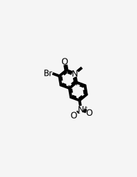 Cn1c(=O)c(Br)cc2cc([N+](=O)[O-])ccc21